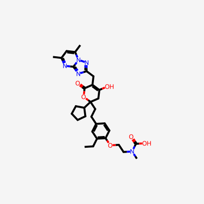 CCc1cc(CCC2(C3CCCC3)CC(O)=C(Cc3nc4nc(C)cc(C)n4n3)C(=O)O2)ccc1OCCN(C)C(=O)O